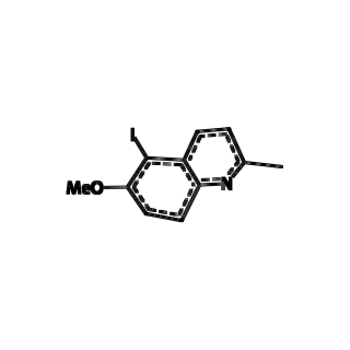 COc1ccc2nc(C)ccc2c1I